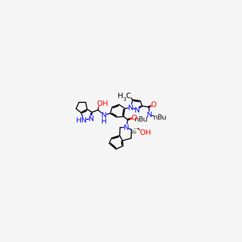 CCCCN(CCCC)C(=O)c1cc(C)n(-c2ccc(NC(O)c3n[nH]c4c3CCC4)cc2C(=O)N2Cc3ccccc3C[C@H]2CO)n1